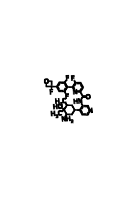 C[C@H]1C[C@@H](c2ccncc2NC(=O)c2ccc(F)c(-c3c(F)cc(C4(F)COC4)cc3F)n2)C[C@@H](N)[C@]1(C)O